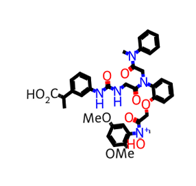 COc1ccc(OC)c([N+](C)(O)C(=O)COc2ccccc2N(CC(=O)N(C)c2ccccc2)C(=O)CNC(=O)Nc2cccc(C(C)C(=O)O)c2)c1